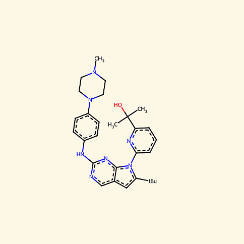 CN1CCN(c2ccc(Nc3ncc4cc(C(C)(C)C)n(-c5cccc(C(C)(C)O)n5)c4n3)cc2)CC1